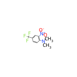 CN(C)c1ccc(C(F)(F)F)cc1[N+](=O)[O-]